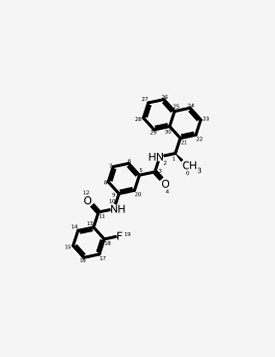 C[C@@H](NC(=O)c1cccc(NC(=O)c2ccccc2F)c1)c1cccc2ccccc12